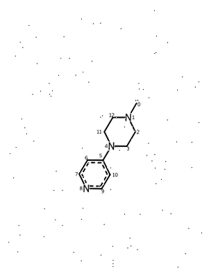 [CH]N1CCN(c2ccncc2)CC1